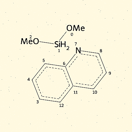 CO[SiH2]OC.c1ccc2ncccc2c1